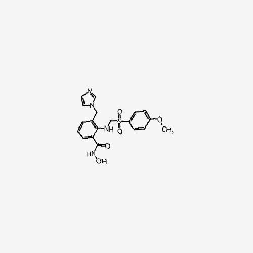 COc1ccc(S(=O)(=O)CNc2c(Cn3ccnc3)cccc2C(=O)NO)cc1